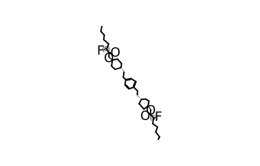 CCCCC[C@H](F)C(=O)O[C@H]1CC[C@H](CCc2ccc(CC[C@H]3CC[C@H](OC(=O)[C@@H](F)CCCCC)CC3)cc2)CC1